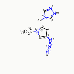 [N-]=[N+]=N[C@@H]1C[C@@H](Cn2cnnc2)N(C(=O)O)C1